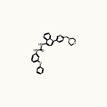 O=C(Nc1cccc(Oc2ccccc2)c1)Nc1ccc(-c2ccc(CN3CCOCC3)nc2)c2ccccc12